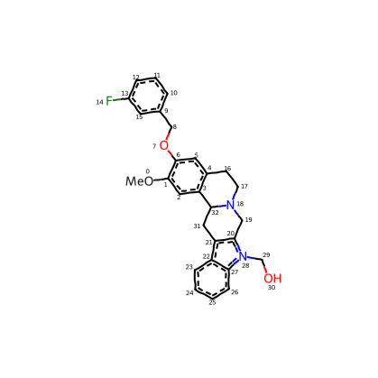 COc1cc2c(cc1OCc1cccc(F)c1)CCN1Cc3c(c4ccccc4n3CO)CC21